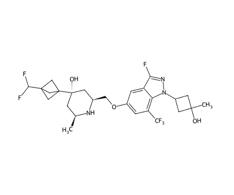 C[C@H]1C[C@@](O)(C23CC(C(F)F)(C2)C3)C[C@@H](COc2cc(C(F)(F)F)c3c(c2)c(F)nn3C2CC(C)(O)C2)N1